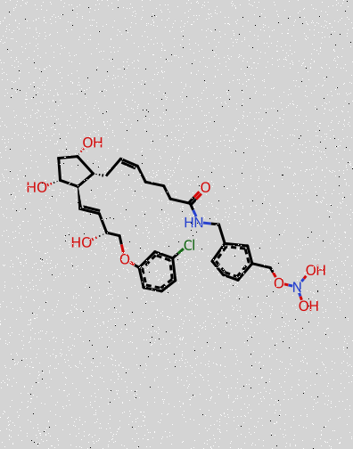 O=C(CCC/C=C\C[C@@H]1[C@@H](/C=C/[C@@H](O)COc2cccc(Cl)c2)[C@H](O)C[C@@H]1O)NCc1cccc(CON(O)O)c1